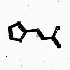 O=C(Cl)/C=C/c1nccs1